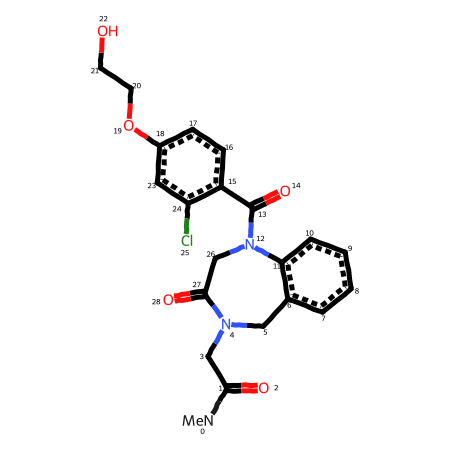 CNC(=O)CN1Cc2ccccc2N(C(=O)c2ccc(OCCO)cc2Cl)CC1=O